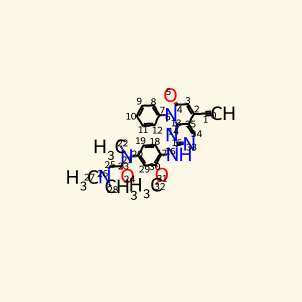 C#Cc1cc(=O)n(-c2ccccc2)c2nc(Nc3ccc(N(C)C(=O)CN(C)C)cc3OC)ncc12